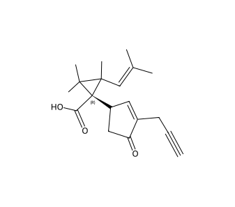 C#CCC1=CC([C@@]2(C(=O)O)C(C)(C)C2(C)C=C(C)C)CC1=O